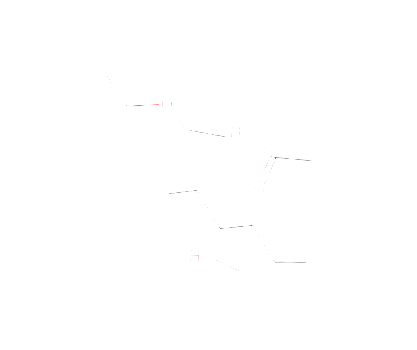 CC(=O)O.CCCCCC.CCOCC.CO